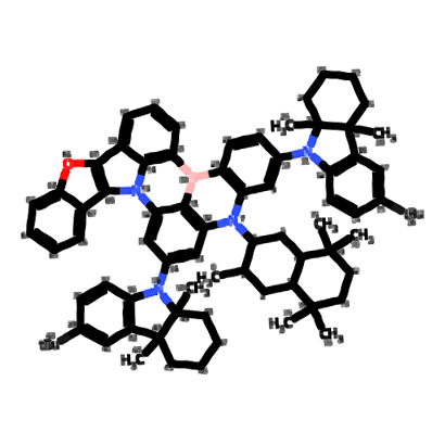 CC1CC2C(CC1N1c3cc(N4c5ccc(C(C)(C)C)cc5C5(C)CCCCC45C)ccc3B3c4c1cc(N1c5ccc(C(C)(C)C)cc5C5(C)CCCCC15C)cc4-n1c4c3cccc4c3oc4ccccc4c31)C(C)(C)CCC2(C)C